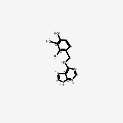 Oc1ccc(CNc2ncnc3[nH]cnc23)c(O)c1O